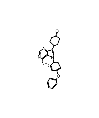 Nc1ncnc2c(C3CCC(=O)CC3)cn(-c3ccc(Oc4ccccc4)cc3)c12